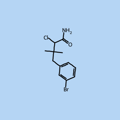 CC(C)(Cc1cccc(Br)c1)C(Cl)C(N)=O